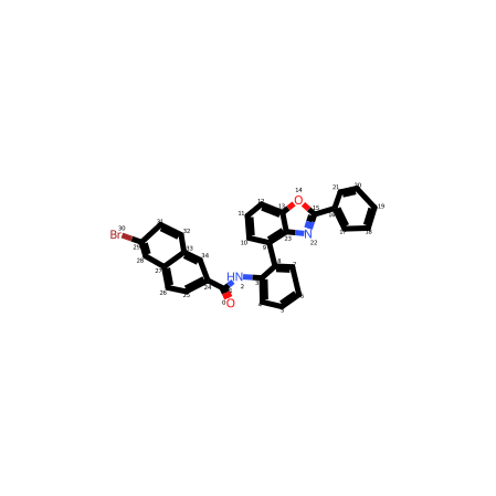 O=C(Nc1ccccc1-c1cccc2oc(-c3ccccc3)nc12)c1ccc2cc(Br)ccc2c1